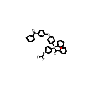 FC(F)F.O=C(c1ccccc1)c1ccc(Sc2ccc(S(C(=O)c3ccccc3)(c3ccccc3)c3ccccc3)cc2)cc1